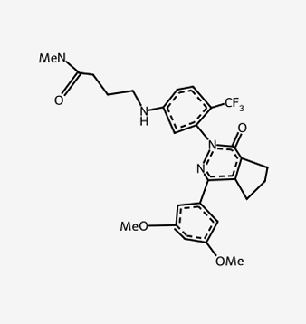 CNC(=O)CCCNc1ccc(C(F)(F)F)c(-n2nc(-c3cc(OC)cc(OC)c3)c3c(c2=O)CCC3)c1